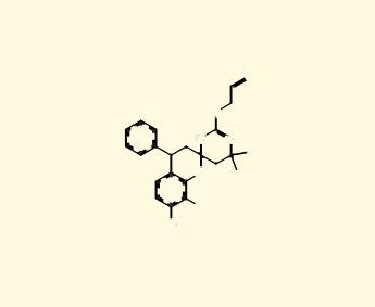 C=CCSC1=NC(C)(C)CC2(CC(c3ccccc3)c3ccc(O)c(O)c3O2)N1